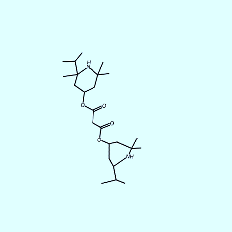 CC(C)C1CC(OC(=O)CC(=O)OC2CC(C)(C)NC(C)(C(C)C)C2)CC(C)(C)N1